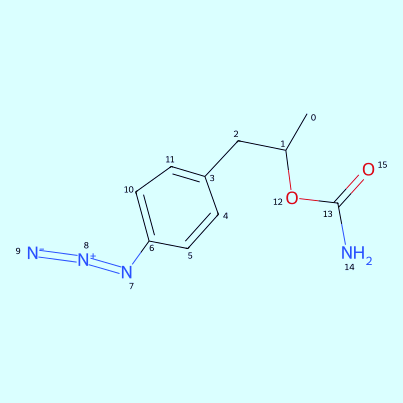 CC(Cc1ccc(N=[N+]=[N-])cc1)OC(N)=O